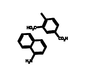 Cc1ccc(C(=O)O)cc1C(=O)O.Nc1cccc2ccccc12